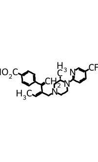 C=C(/C(=C\C)CN1CCN(c2ccc(C(F)(F)F)cn2)[C@H](C)C1)c1ccc(C(=O)O)cc1